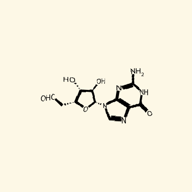 Nc1nc2c(ncn2[C@@H]2O[C@H](CC=O)[C@H](O)[C@H]2O)c(=O)[nH]1